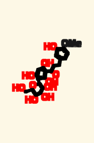 COc1ccc(CCC(=O)c2c(O)cc(O)c([C@@H]3O[C@H](CO)[C@@H](O)[C@H](O)[C@H]3O)c2O)cc1O